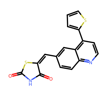 O=C1NC(=O)/C(=C\c2ccc3nccc(-c4cccs4)c3c2)S1